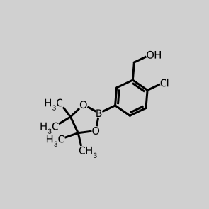 CC1(C)OB(c2ccc(Cl)c(CO)c2)OC1(C)C